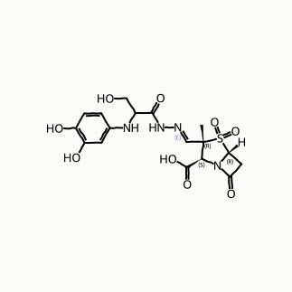 C[C@]1(/C=N/NC(=O)C(CO)Nc2ccc(O)c(O)c2)[C@H](C(=O)O)N2C(=O)C[C@H]2S1(=O)=O